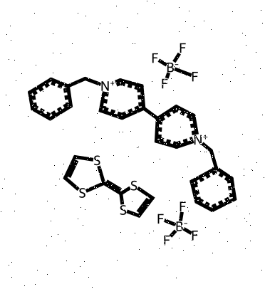 C1=CSC(=C2SC=CS2)S1.F[B-](F)(F)F.F[B-](F)(F)F.c1ccc(C[n+]2ccc(-c3cc[n+](Cc4ccccc4)cc3)cc2)cc1